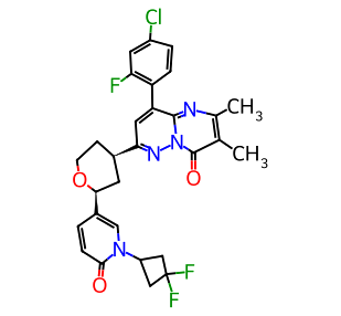 Cc1nc2c(-c3ccc(Cl)cc3F)cc([C@@H]3CCO[C@H](c4ccc(=O)n(C5CC(F)(F)C5)c4)C3)nn2c(=O)c1C